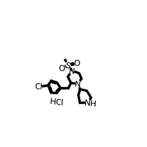 CS(=O)(=O)N1CCN(C2CCNCC2)C(Cc2ccc(Cl)cc2)C1.Cl